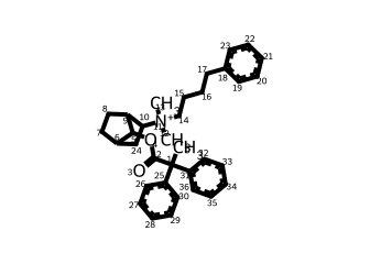 CC(C(=O)OC1C2CCC1C([N+](C)(C)CCCCc1ccccc1)C2)(c1ccccc1)c1ccccc1